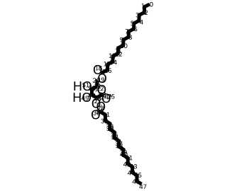 CCCCCCCCCCCCCCCCCC(=O)OCC1O[C@@H](OC)C(OOC(=O)CCCCCCCCCCCCCCCCC)C(O)[C@@H]1O